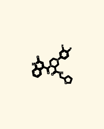 O=C(NCC1CCCO1)C1CN(c2ccc(F)c(F)c2)CCN1C(=O)c1cc(=O)[nH]c2ccccc12